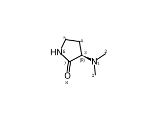 CN(C)[C@@H]1CCNC1=O